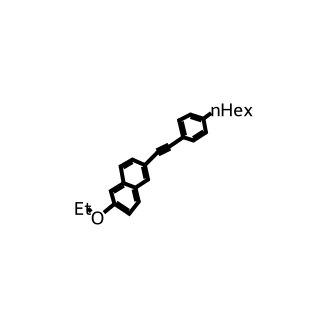 CCCCCCc1ccc(C#Cc2ccc3cc(OCC)ccc3c2)cc1